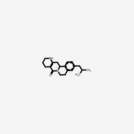 CC(C)Cc1ccc2c(c1)CCN1C(=O)C3=C(CC21)NCCC3